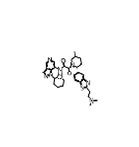 C[C@H]1CC[C@H](c2ccc3sc(CCN(C)C)nc3c2)N(C(=O)C(=O)Nc2cncc3cnn(C4CCCCO4)c23)C1